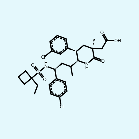 CCC1(S(=O)(=O)N[C@@H](CC(C)[C@@H]2NC(=O)[C@](C)(CC(=O)O)C[C@@H]2c2cccc(Cl)c2)c2ccc(Cl)cc2)CCC1